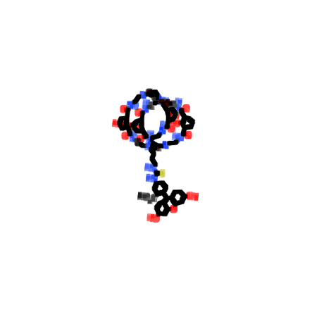 O=C(O)c1cc(NC(=S)NCCCCC2CN3CCNC(=O)c4cccc(c4O)C(=O)NCCN(CCNC(=O)c4cccc(c4O)C(=O)N2)CCN2CCNC(=O)c4cccc(c4O)C(=O)NCCN(CCNC(=O)c4cccc(c4O)C(=O)NCC2)CC3)ccc1C1=C2C=CC(O)C=C2OC2=C1CCC(O)=C2